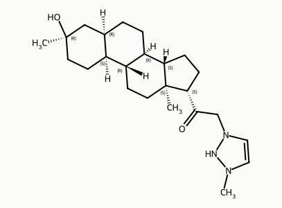 CN1C=CN(CC(=O)[C@H]2CC[C@H]3[C@@H]4CC[C@@H]5C[C@](C)(O)CC[C@@H]5[C@H]4CC[C@]23C)N1